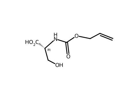 C=CCOC(=O)N[C@H](CO)C(=O)O